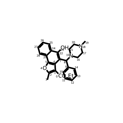 CCOC(=O)c1c(C)oc2c1c(C(c1ccccc1)N1CCN(C)CC1)c(O)c1ccccc12